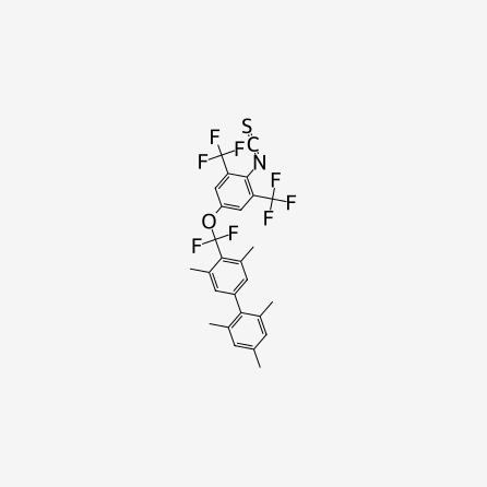 Cc1cc(C)c(-c2cc(C)c(C(F)(F)Oc3cc(C(F)(F)F)c(N=C=S)c(C(F)(F)F)c3)c(C)c2)c(C)c1